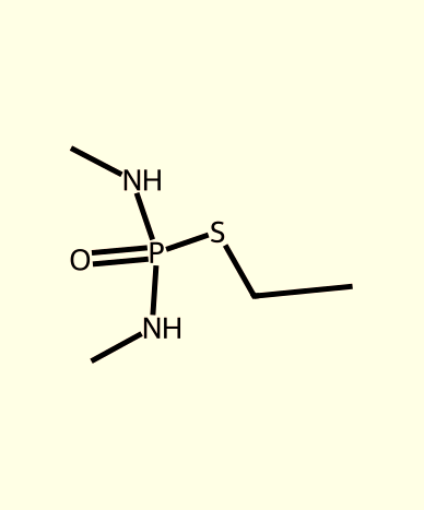 CCSP(=O)(NC)NC